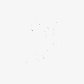 Cc1ccc(C(=O)N2CCC(c3ccc(N)cn3)CC2)cc1NC(=O)c1cnc(N2CCC2)nc1